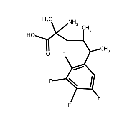 CC(CC(C)(N)C(=O)O)C(C)c1cc(F)c(F)c(F)c1F